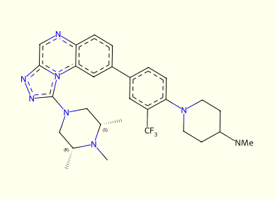 CNC1CCN(c2ccc(-c3ccc4ncc5nnc(N6C[C@@H](C)N(C)[C@@H](C)C6)n5c4c3)cc2C(F)(F)F)CC1